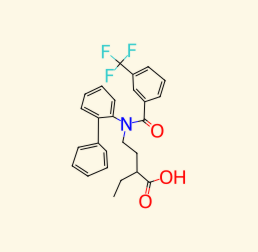 CCC(CCN(C(=O)c1cccc(C(F)(F)F)c1)c1ccccc1-c1ccccc1)C(=O)O